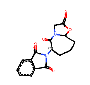 O=C1CN2C(=O)[C@H](N3C(=O)c4ccccc4C3=O)CCCC2O1